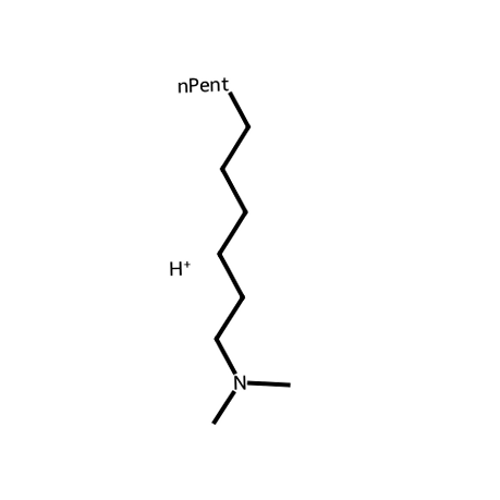 CCCCCCCCCCCN(C)C.[H+]